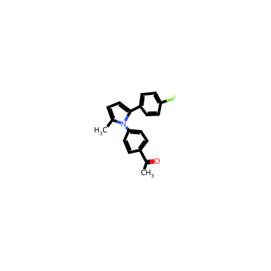 CC(=O)c1ccc(-n2c(C)ccc2-c2ccc(F)cc2)cc1